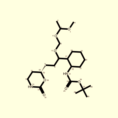 COC(C)OCOC(CC[C@H]1CCNC(=O)O1)C1CCCCC1NC(=O)OC(C)(C)C